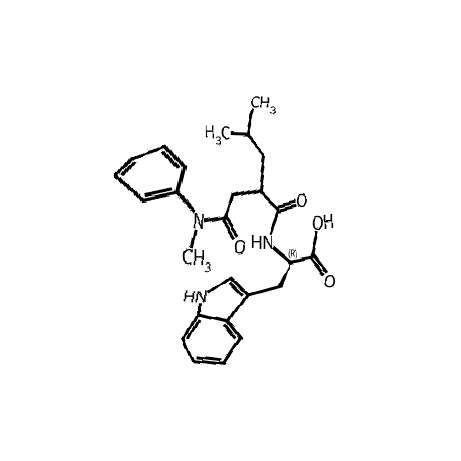 CC(C)CC(CC(=O)N(C)c1ccccc1)C(=O)N[C@H](Cc1c[nH]c2ccccc12)C(=O)O